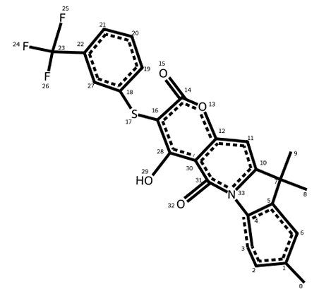 Cc1ccc2c(c1)C(C)(C)c1cc3oc(=O)c(Sc4cccc(C(F)(F)F)c4)c(O)c3c(=O)n1-2